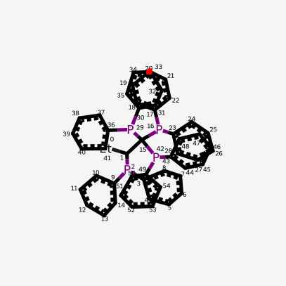 CCC(P(c1ccccc1)c1ccccc1)C(P(c1ccccc1)c1ccccc1)(P(c1ccccc1)c1ccccc1)P(c1ccccc1)c1ccccc1